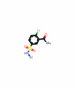 CCNS(=O)(=O)c1ccc(Cl)c(C(=O)C(C)(C)C)c1